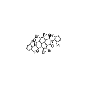 CC(C)c1cccc(C(C)C)c1N1C(=O)c2c(Br)c(Br)c3c4c(c(Br)c(Br)c(c24)C1=O)C(=O)N(c1c(C(C)C)cccc1C(C)C)C3=O